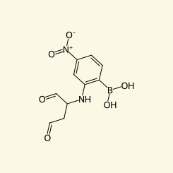 O=CCC(C=O)Nc1cc([N+](=O)[O-])ccc1B(O)O